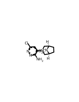 Nc1nnc(Cl)cc1N1C[C@H]2CC[C@@H](C1)N2C(=O)O